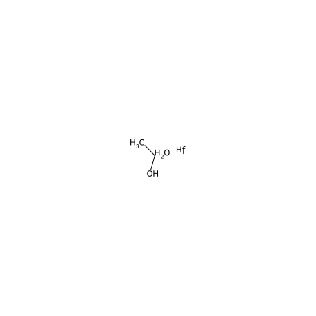 CCO.O.[Hf]